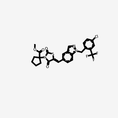 COC(=O)C1(N2C(=O)SC(=Cc3ccc4c(cnn4Cc4ccc(Cl)cc4C(F)(F)F)c3)C2=O)CCCC1